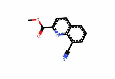 COC(=O)c1ccc2cccc(C#N)c2n1